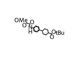 COC(=O)C(=O)Nc1ccc(C2CCC(C(=O)OC(C)(C)C)CC2)cc1